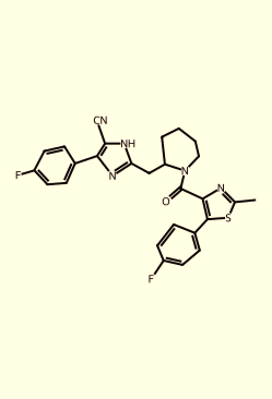 Cc1nc(C(=O)N2CCCCC2Cc2nc(-c3ccc(F)cc3)c(C#N)[nH]2)c(-c2ccc(F)cc2)s1